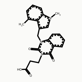 Cc1cccc2c1c(Cn1c(=O)n(CCC(=O)O)c(=O)c3ccccc31)cn2C